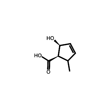 CC1C=C[C@H](O)[C@@H]1C(=O)O